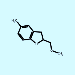 COCC1Cc2cc(C)ccc2O1